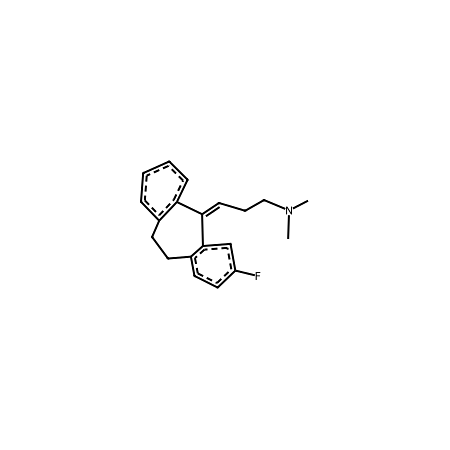 CN(C)CC/C=C1/c2ccccc2CCc2ccc(F)cc21